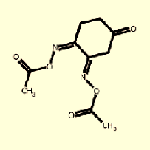 CC(=O)O/N=C1/CCC(=O)C/C1=N\OC(C)=O